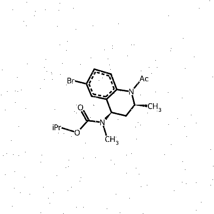 CC(=O)N1c2ccc(Br)cc2[C@H](N(C)C(=O)OC(C)C)C[C@@H]1C